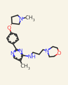 Cc1cnc(-c2ccc(O[C@@H]3CCN(C)C3)cc2)nc1NCCCN1CCOCC1